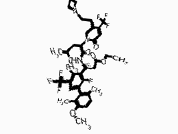 CCOC(=O)C[C@H](NC(=O)C(CC(C)C)n1cc(CCN2CCC2)c(C(F)(F)F)cc1=O)c1c(F)c(-c2c(C)ccc(OC)c2C)cc(C(F)(F)F)c1F